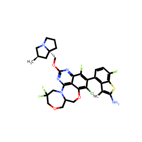 C[C@H]1CN2CCC[C@@]2(COc2nc3c4c(c(Cl)c(-c5ccc(F)c6sc(N)c(C#N)c56)c(F)c4n2)OCC2COCC(F)(F)CN32)C1